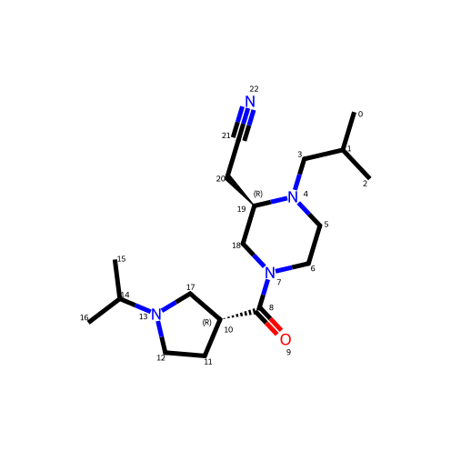 CC(C)CN1CCN(C(=O)[C@@H]2CCN(C(C)C)C2)C[C@H]1CC#N